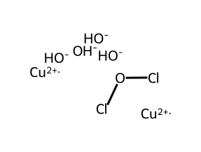 ClOCl.[Cu+2].[Cu+2].[OH-].[OH-].[OH-].[OH-]